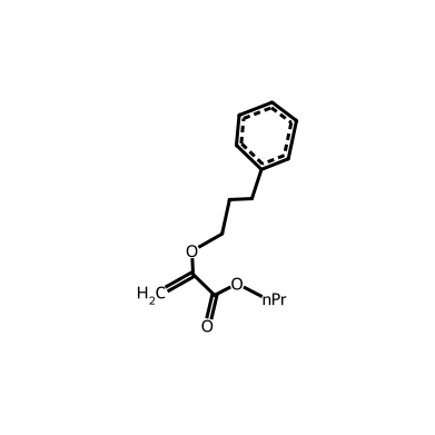 C=C(OCCCc1ccccc1)C(=O)OCCC